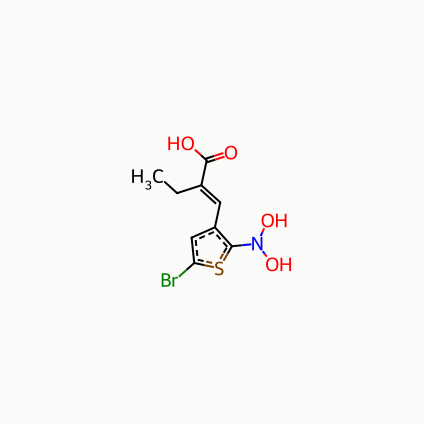 CC/C(=C\c1cc(Br)sc1N(O)O)C(=O)O